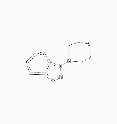 c1ccc2c(c1)cnn2N1CCSCC1